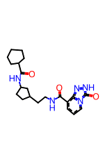 O=C(NCCC1CCC(NC(=O)C2CCCCC2)C1)c1cccn2c(=O)[nH]nc12